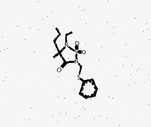 CCCC1(C)C(=O)N(CSc2ccccc2)S(=O)(=O)N1CC